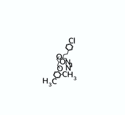 Cc1ccc(OCC2COC(CCc3ccc(Cl)cc3)(Cn3ccnc3)O2)c(C)c1